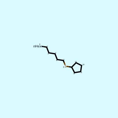 CCCCCCCCCCCSC1CCCC1